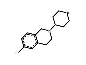 Brc1ccc2c(c1)CCN(C1CCNCC1)C2